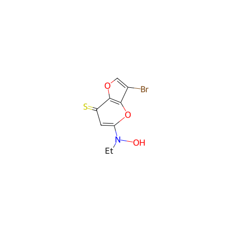 CCN(O)c1cc(=S)c2occ(Br)c2o1